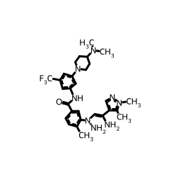 Cc1ccc(C(=O)Nc2cc(N3CCC(N(C)C)CC3)cc(C(F)(F)F)c2)cc1N(N)/C=C(\N)c1cnn(C)c1C